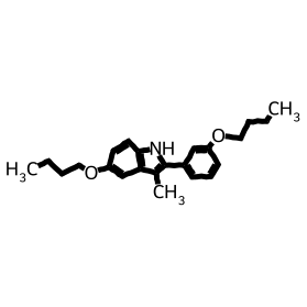 CCCCOc1cccc(-c2[nH]c3ccc(OCCCC)cc3c2C)c1